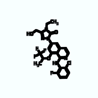 CCn1c(CO)nn(-c2cc(OC(C)C(F)(F)F)c3c(Nc4c(F)cccc4Cl)nccc3c2)c1=O